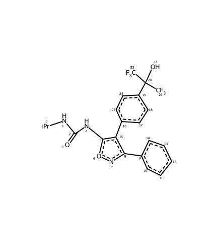 CC(C)NC(=O)Nc1onc(-c2ccccc2)c1-c1ccc(C(O)(C(F)(F)F)C(F)(F)F)cc1